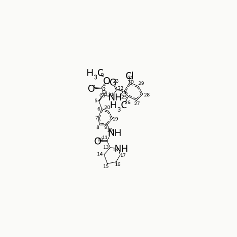 COC(=O)[C@H](Cc1ccc(NC(=O)C2CCCCN2)cc1)NC(=O)c1c(C)cccc1Cl